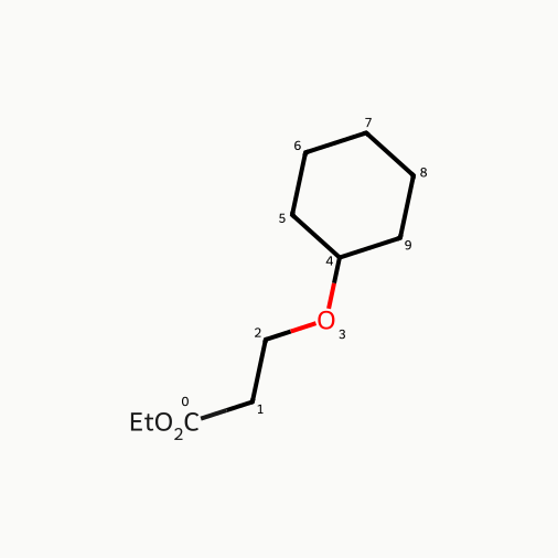 CCOC(=O)CCOC1CCCCC1